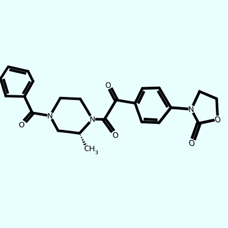 C[C@@H]1CN(C(=O)c2ccccc2)CCN1C(=O)C(=O)c1ccc(N2CCOC2=O)cc1